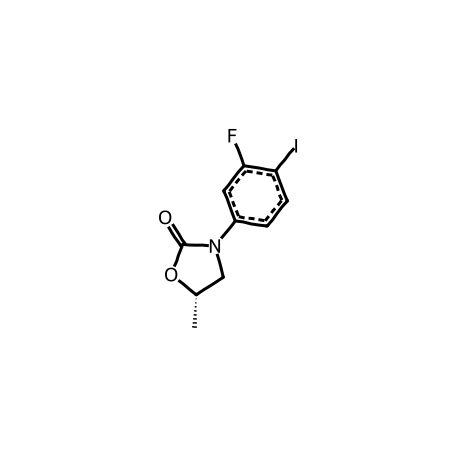 C[C@H]1CN(c2ccc(I)c(F)c2)C(=O)O1